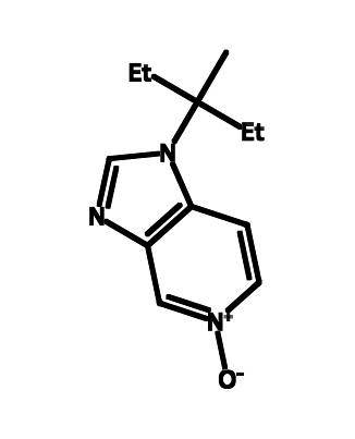 CCC(C)(CC)n1cnc2c[n+]([O-])ccc21